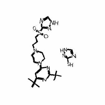 CC(C)(C)c1cc(N2CCN(CCCS(=O)(=O)c3nc[nH]n3)CC2)nc(C(C)(C)C)n1.Sc1nc[nH]n1